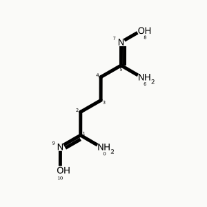 N/C(CCC/C(N)=N/O)=N\O